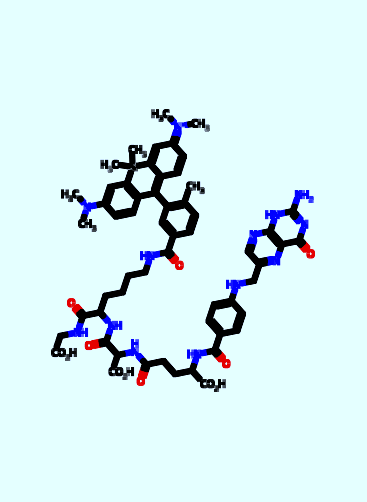 Cc1ccc(C(=O)NCCCCC(NC(=O)C(NC(=O)CCC(NC(=O)c2ccc(NCc3cnc4[nH]c(N)nc(=O)c4n3)cc2)C(=O)O)C(=O)O)C(=O)NCC(=O)O)cc1C1=C2C=CC(=[N+](C)C)C=C2[Si](C)(C)c2cc(N(C)C)ccc21